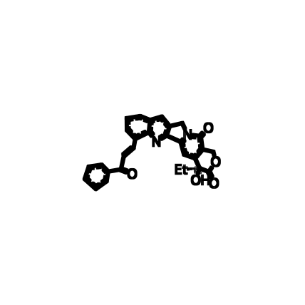 CC[C@@]1(O)C(=O)OCc2c1cc1n(c2=O)Cc2cc3cccc(C=CC(=O)c4ccccc4)c3nc2-1